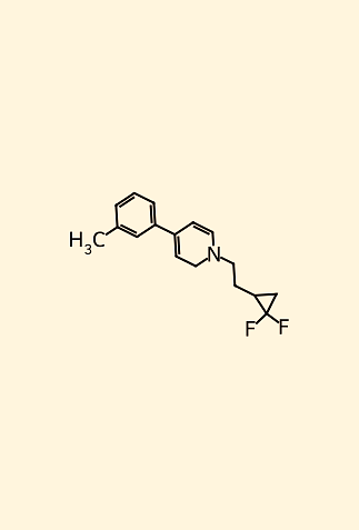 Cc1cccc(C2=CCN(CCC3CC3(F)F)C=C2)c1